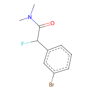 CN(C)C(=O)C(F)c1cccc(Br)c1